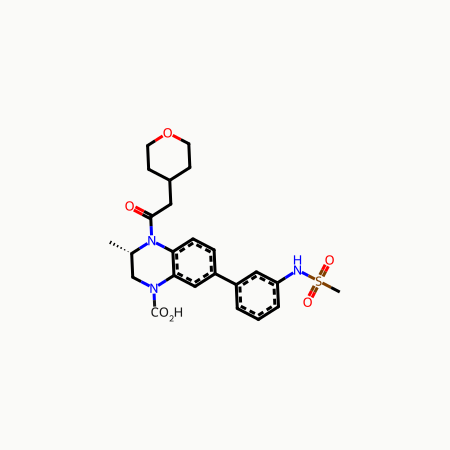 C[C@H]1CN(C(=O)O)c2cc(-c3cccc(NS(C)(=O)=O)c3)ccc2N1C(=O)CC1CCOCC1